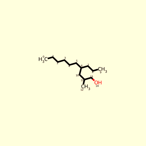 CCCCCCC(CCC)CC(C)CO